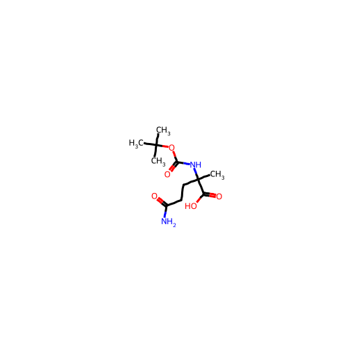 CC(C)(C)OC(=O)NC(C)(CCC(N)=O)C(=O)O